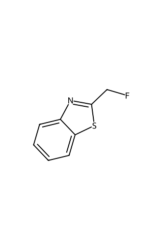 FCc1nc2ccccc2s1